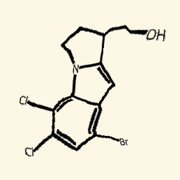 OCC1CCn2c1cc1c(Br)cc(Cl)c(Cl)c12